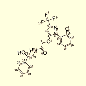 O=C(COc1cc(C(F)(F)F)nn1-c1ccccc1Cl)NC[C@H](O)c1ccccc1